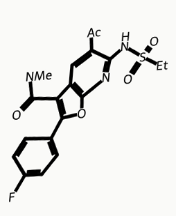 CCS(=O)(=O)Nc1nc2oc(-c3ccc(F)cc3)c(C(=O)NC)c2cc1C(C)=O